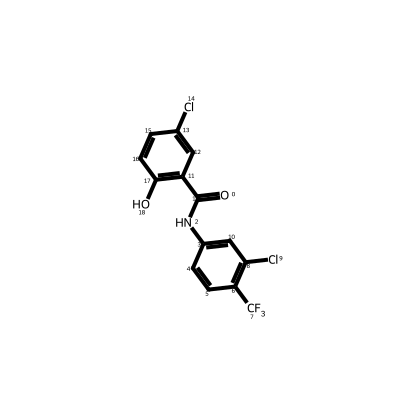 O=C(Nc1ccc(C(F)(F)F)c(Cl)c1)c1cc(Cl)ccc1O